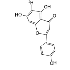 [2H]c1c(O)cc2oc(-c3ccc(O)cc3)cc(=O)c2c1O